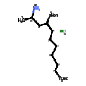 CCCCCCCCCCCCCCCCC(CCCCCCCCC)CC(C)N.Cl